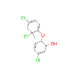 CC1(Cl)CC(Cl)=CC=C1OC1C=CC(Cl)=CC1O